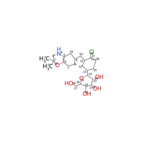 CC1(C)CNC2=C(CCC(CC3CC(C4OC(CO)C(O)C(O)[C@H]4O)CC=C3Cl)C2)O1